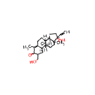 C#C[C@@]1(O)CC[C@H]2[C@@H]3CCC4=C(C)C(=O)C(=CO)C[C@]4(C)[C@H]3CC[C@@]21C